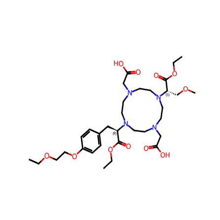 CCOCCOc1ccc(C[C@H](C(=O)OCC)N2CCN(CC(=O)O)CCN([C@@H](COC)C(=O)OCC)CCN(CC(=O)O)CC2)cc1